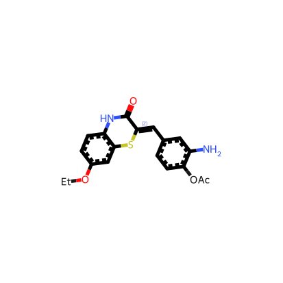 CCOc1ccc2c(c1)S/C(=C\c1ccc(OC(C)=O)c(N)c1)C(=O)N2